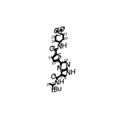 CC(NC(=O)c1c[nH]c2ncc(-c3ccc(C(=O)NC4CCS(=O)(=O)CC4)s3)nc12)C(C)(C)C